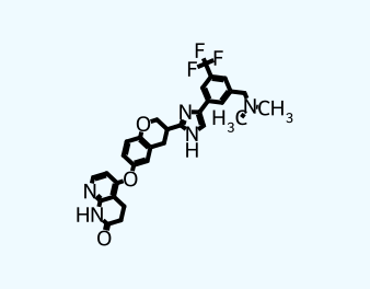 CN(C)Cc1cc(-c2c[nH]c(C3COc4ccc(Oc5ccnc6c5CCC(=O)N6)cc4C3)n2)cc(C(F)(F)F)c1